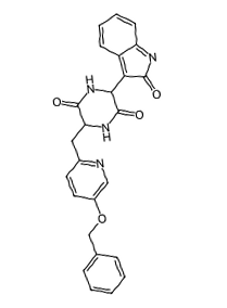 O=C1N=c2ccccc2=C1C1NC(=O)C(Cc2ccc(OCc3ccccc3)cn2)NC1=O